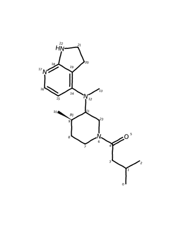 CC(C)CC(=O)N1CC[C@@H](C)C(N(C)c2ccnc3c2CCN3)C1